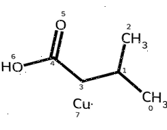 CC(C)CC(=O)O.[Cu]